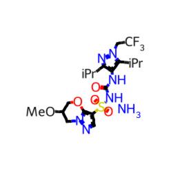 COC1COc2c(S(=O)(=O)NC(=O)Nc3c(C(C)C)nn(CC(F)(F)F)c3C(C)C)cnn2C1.N